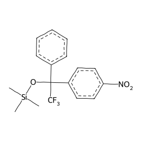 C[Si](C)(C)OC(c1ccccc1)(c1ccc([N+](=O)[O-])cc1)C(F)(F)F